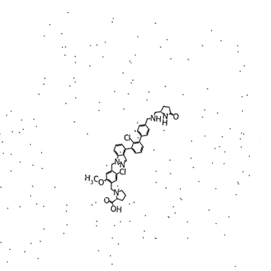 COc1cc(Cn2ncc3c(-c4cccc(-c5ccc(CNCC6CCC(=O)N6)cc5)c4Cl)cccc32)c(Cl)cc1CN1CCCC1C(=O)O